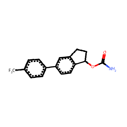 NC(=O)OC1CCc2cc(-c3ccc(C(F)(F)F)cc3)ccc21